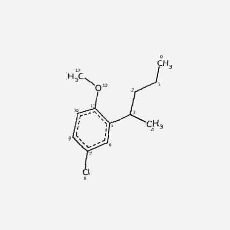 CCCC(C)c1cc(Cl)ccc1OC